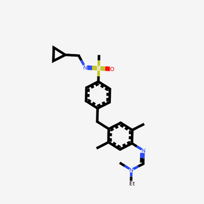 CCN(C)/C=N\c1cc(C)c(Cc2ccc(S(C)(=O)=NCC3CC3)cc2)cc1C